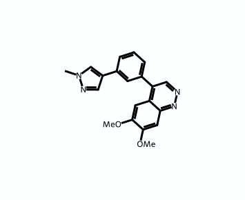 COc1cc2nncc(-c3cccc(-c4cnn(C)c4)c3)c2cc1OC